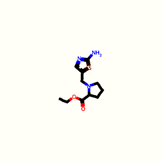 CCOC(=O)C1CCCN1Cc1cnc(N)s1